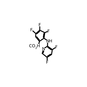 O=C(O)c1cc(F)c(F)c(F)c1Nc1ncc(F)cc1F